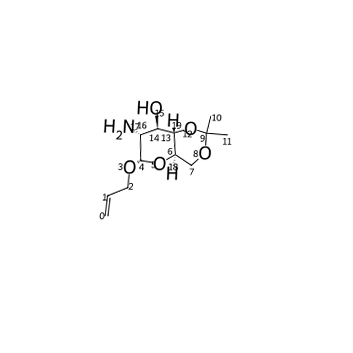 C=CCO[C@H]1O[C@@H]2COC(C)(C)O[C@H]2[C@H](O)[C@H]1N